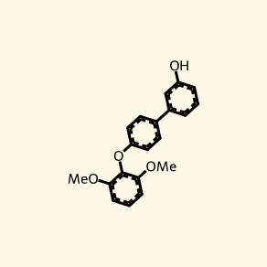 COc1cccc(OC)c1Oc1ccc(-c2cccc(O)c2)cc1